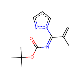 C=C(C)/C(=N/C(=O)OC(C)(C)C)n1cccn1